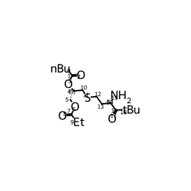 CCCCC(=O)O[C@@H](COC(=O)CC)CSCC[C@H](N)C(=O)C(C)(C)C